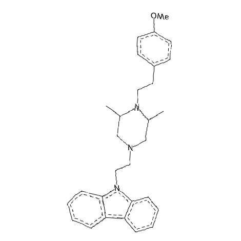 COc1ccc(CCN2C(C)CN(CCn3c4ccccc4c4ccccc43)CC2C)cc1